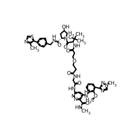 CNC(=O)c1nnc(NC(=O)CNC(=O)CCOCCC(=O)N[C@H](C(=O)N2C[C@H](O)C[C@H]2C(=O)NCc2ccc(-c3scnc3C)cc2)C(C)(C)C)cc1Nc1cccc(-c2ncn(C)n2)c1OC